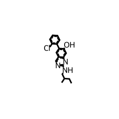 CCC(C)CNc1ncc2cc(-c3ccccc3Cl)c(O)cc2n1